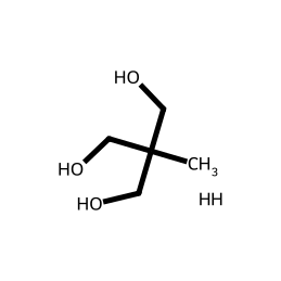 CC(CO)(CO)CO.[HH]